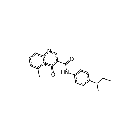 CCC(C)c1ccc(NC(=O)c2cnc3cccc(C)n3c2=O)cc1